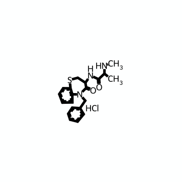 CNC(C)C(=O)NC1CSc2ccccc2N(Cc2ccccc2)C1=O.Cl